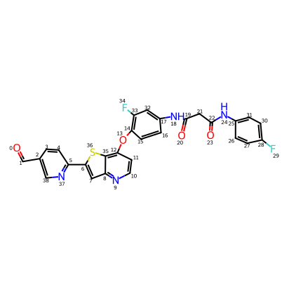 O=Cc1ccc(-c2cc3nccc(Oc4ccc(NC(=O)CC(=O)Nc5ccc(F)cc5)cc4F)c3s2)nc1